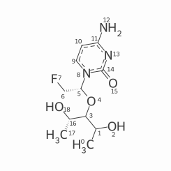 CC(O)C(O[C@H](CF)n1ccc(N)nc1=O)[C@H](C)O